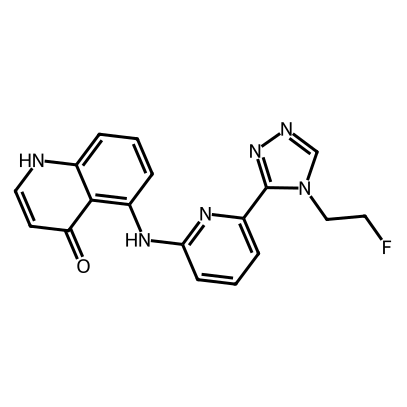 O=c1cc[nH]c2cccc(Nc3cccc(-c4nncn4CCF)n3)c12